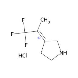 C/C(=C1/CCNC1)C(F)(F)F.Cl